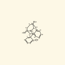 Clc1ccccc1CN1C[C@@H]2CC[C@H]1Cc1ccccc1C2